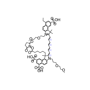 CCc1cc(S(=O)(=O)O)cc2c3c(ccc12)[N+](CCOCCOC)=C(/C=C/C=C/C=C/C=C1/N(CCCOCCOC)c2ccc4c(S(=O)(=O)O)cc(S(=O)(=O)O)cc4c2C1(C)CCCCCC(=O)ON1C(=O)CCC1=O)C3(C)C